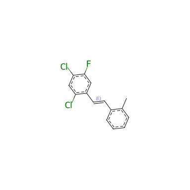 Cc1ccccc1/C=C/c1cc(F)c(Cl)cc1Cl